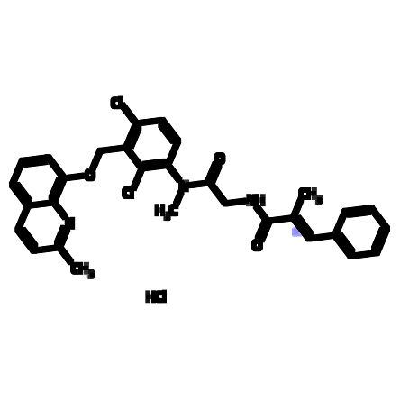 C/C(=C\c1ccccc1)C(=O)NCC(=O)N(C)c1ccc(Cl)c(COc2cccc3ccc(C)nc23)c1Cl.Cl